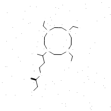 CC(=O)CN1CCN(CC(C)=O)CCN(C(CCNC(=O)CBr)C(C)=O)CCN(CC(C)=O)CC1